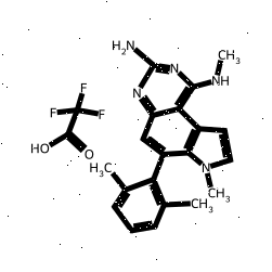 CNc1nc(N)nc2cc(-c3c(C)cccc3C)c3c(ccn3C)c12.O=C(O)C(F)(F)F